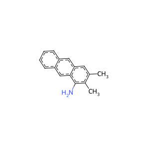 Cc1cc2cc3ccccc3cc2c(N)c1C